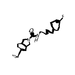 O=C(NCCCCc1ccc(F)cc1)N1Cc2ccc(CO)cc2C1